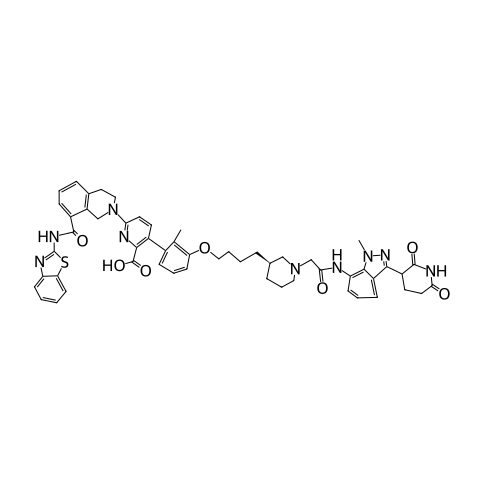 Cc1c(OCCCC[C@@H]2CCCN(CC(=O)Nc3cccc4c(C5CCC(=O)NC5=O)nn(C)c34)C2)cccc1-c1ccc(N2CCc3cccc(C(=O)Nc4nc5ccccc5s4)c3C2)nc1C(=O)O